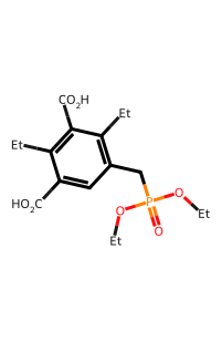 CCOP(=O)(Cc1cc(C(=O)O)c(CC)c(C(=O)O)c1CC)OCC